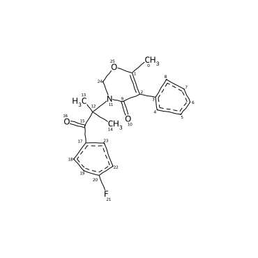 CC1=C(c2ccccc2)C(=O)N(C(C)(C)C(=O)c2ccc(F)cc2)CO1